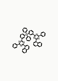 c1ccc(-c2nc(-c3cccc([Si](c4ccccc4)(c4ccccc4)c4cccc(-c5nc(-c6ccccc6)nc(-c6cccc7ccccc67)n5)c4)c3)nc(-c3cccc4ccccc34)n2)cc1